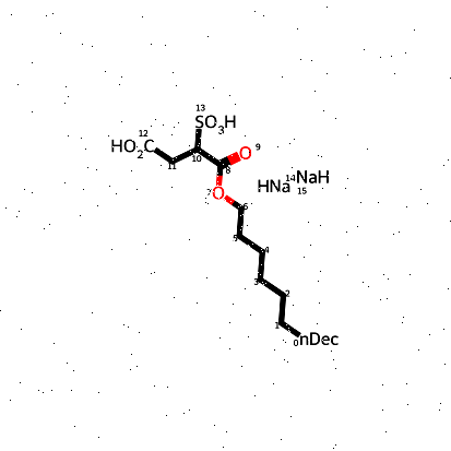 CCCCCCCCCCCCCCCCOC(=O)C(CC(=O)O)S(=O)(=O)O.[NaH].[NaH]